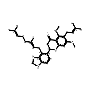 COc1cc2c(c(OC)c1CC=C(C)C)C(=O)CC(c1ccc3c(c1C/C=C(\C)CCC=C(C)C)OCO3)O2